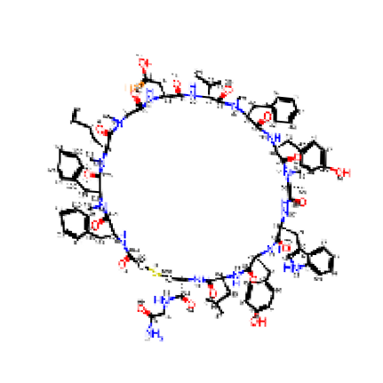 CCCC[C@H]1C(=O)N(C)CC(=O)N[C@@H](CC(O)=P)C(=O)N[C@@H](C(C)C)C(=O)N(C)[C@@H](Cc2ccccc2)C(=O)N[C@@H](Cc2ccc(O)cc2)C(=O)N(C)[C@H](C)C(=O)N[C@@H](Cc2c[nH]c3ccccc23)C(=O)N[C@@H](Cc2ccc(O)cc2)C(=O)N[C@@H](CC(C)C)C(=O)N[C@H](C(=O)NCC(N)=O)CSCC(=O)N[C@@H](Cc2ccccc2)C(=O)N(C)[C@@H](Cc2ccccc2)C(=O)N1C